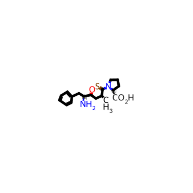 CC(CC(=O)[C@@H](N)Cc1ccccc1)C(=S)N1CCC[C@H]1C(=O)O